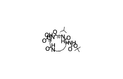 CC(C)C[C@@H]1NC(=O)[C@@H](NC(=O)OC(C)(C)C)CCCCNC(=O)C[C@@H](C(=O)O)NC1=O